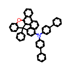 c1ccc(-c2ccc(N(c3ccc(-c4ccccc4)cc3)c3ccc(C4(c5ccccc5)c5ccccc5Oc5c4c4ccccc4c4ccccc54)cc3)cc2)cc1